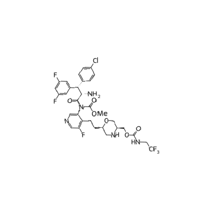 COC(=O)N(C(=O)[C@@H](N)[C@@H](c1ccc(Cl)cc1)c1cc(F)cc(F)c1)c1cncc(F)c1CC[C@@H]1CN[C@H](COC(=O)NCC(F)(F)F)CO1